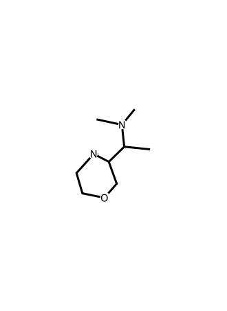 CC(C1COCC[N]1)N(C)C